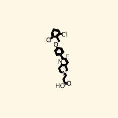 O=C(O)CCN1CCc2nc(-c3ccc(OCc4c(Cl)cccc4Cl)cc3)c(F)cc2C1